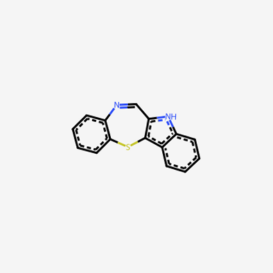 C1=Nc2ccccc2Sc2c1[nH]c1ccccc21